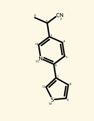 CC(C#N)c1ccc(-c2ccsc2)nc1